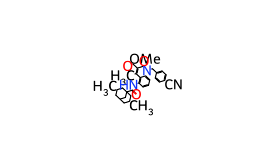 COC(=O)c1c(C)c2c(NC(=O)C34CC(C)CC(CC(C)C3)C4)cccc2n(Cc2ccc(C#N)cc2)c1=O